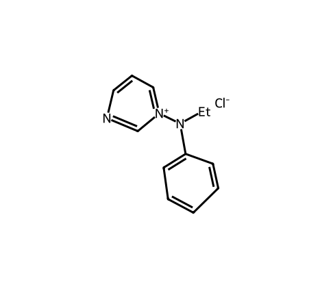 CCN(c1ccccc1)[n+]1cccnc1.[Cl-]